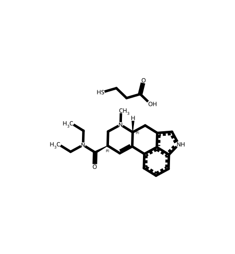 CCN(CC)C(=O)[C@@H]1C=C2c3cccc4[nH]cc(c34)C[C@H]2N(C)C1.O=C(O)CCS